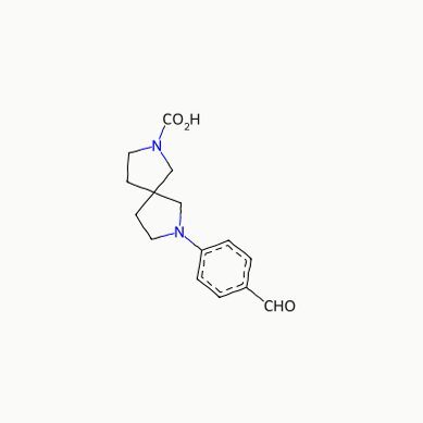 O=Cc1ccc(N2CCC3(CCN(C(=O)O)C3)C2)cc1